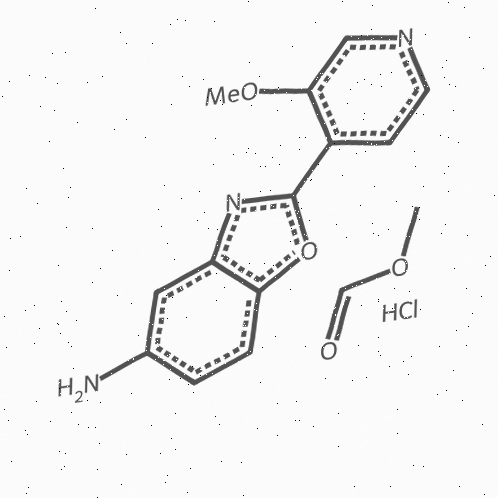 COC=O.COc1cnccc1-c1nc2cc(N)ccc2o1.Cl